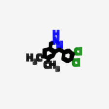 Cc1cc2c(cc1C)C(c1ccc(Cl)c(Cl)c1)=NNC2